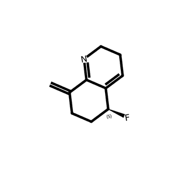 C=C1CC[C@H](F)C2=CCCN=C12